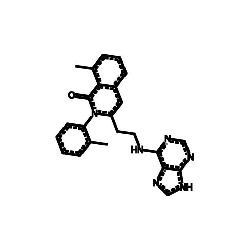 Cc1ccccc1-n1c(CCNc2ncnc3[nH]cnc23)cc2cccc(C)c2c1=O